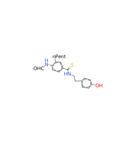 CCCCCc1cc(C(=S)NCCc2ccc(O)cc2)ccc1NC=O